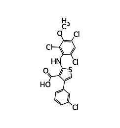 COc1c(Cl)cc(Cl)c(Nc2scc(-c3cccc(Cl)c3)c2C(=O)O)c1Cl